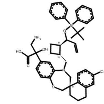 C=CC(O[Si](c1ccccc1)(c1ccccc1)C(C)(C)C)[C@@H]1CC[C@H]1CN1C[C@@]2(CCCc3cc(Cl)ccc32)COc2ccc(C(O)(CN)C(=O)O)cc21